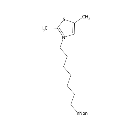 CCCCCCCCCCCCCCCC[n+]1cc(C)sc1C